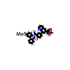 CSc1ccc(N(C(=O)c2ccccc2)C(C)c2cccc(-c3cc(C(C)(C)S(C)(=O)=O)cc4cccnc34)c2)cc1